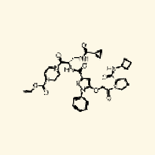 CCOC(=O)N1CCN(C(=O)[C@H](CNC(=O)C2CC2)NC(=O)c2cc(OCC(=O)N3CCC[C@H]3C(=O)NC3CCC3)n(-c3ccccc3)n2)CC1